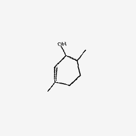 CC1=CC(O)C(C)CC1